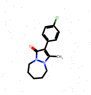 Cc1c(-c2ccc(Cl)cc2)c(=O)n2n1CCCCC2